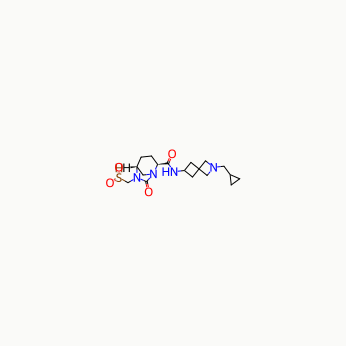 O=C(NC1CC2(C1)CN(CC1CC1)C2)[C@@H]1CC[C@@H]2CN1C(=O)N2C[SH](=O)=O